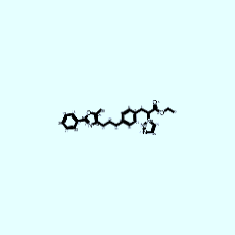 CCOC(=O)C(Cc1ccc(CCCc2nc(-c3ccccc3)oc2C)cc1)n1ccnn1